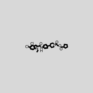 CCn1c(C(=O)Nc2ccc(C3CCN(C(=O)COC(=O)C4CCCC4)CC3)cc2)cc2c(Cl)c(Cl)ccc21